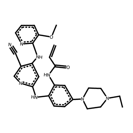 C=CC(=O)Nc1cc(N2CCN(CC)CC2)ccc1Nc1cc(Nc2ncccc2OC)c(C#N)cn1